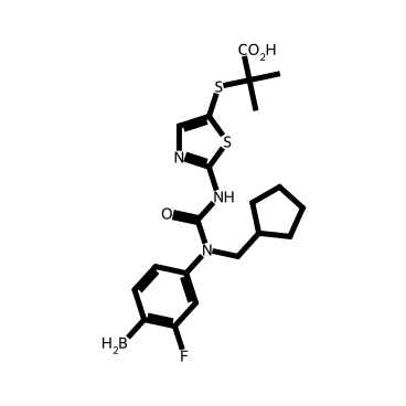 Bc1ccc(N(CC2CCCC2)C(=O)Nc2ncc(SC(C)(C)C(=O)O)s2)cc1F